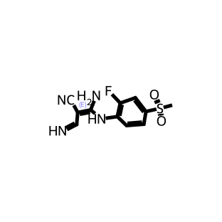 CS(=O)(=O)c1ccc(N/C(N)=C(/C#N)C=N)c(F)c1